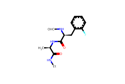 CCNC(=O)[C@@H](C)NC(=O)[C@H](Cc1ccccc1F)NC=O